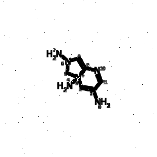 NC1=C[N+]2(N)CN(N)C=C2N=C1